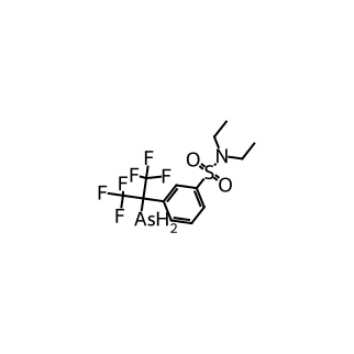 CCN(CC)S(=O)(=O)c1cccc(C([AsH2])(C(F)(F)F)C(F)(F)F)c1